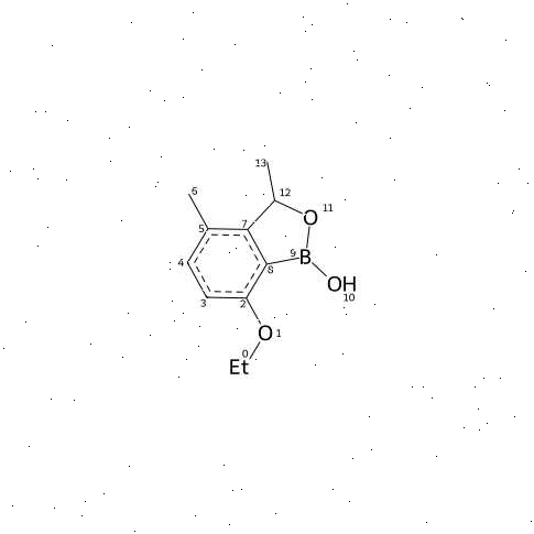 CCOc1ccc(C)c2c1B(O)OC2C